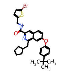 CC(C)(C)c1ccc(Oc2ccc3cc(C(=O)[N]Cc4ccc(Br)s4)nc(CC4CCCC4)c3c2)cc1